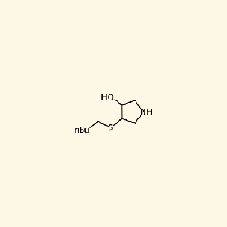 CCCCCSC1CNCC1O